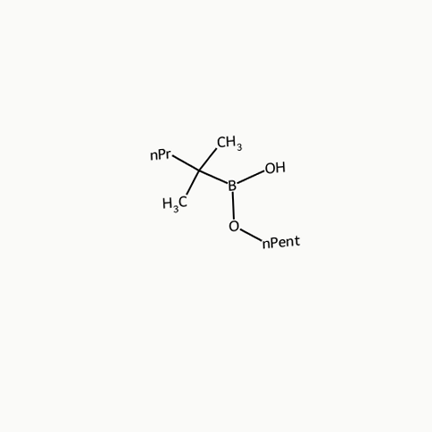 CCCCCOB(O)C(C)(C)CCC